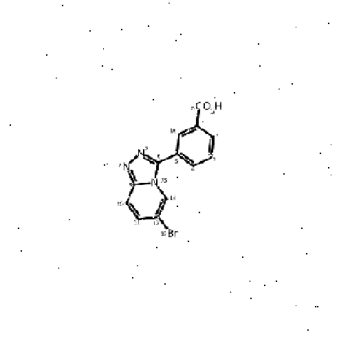 O=C(O)c1cccc(-c2nnc3ccc(Br)cn23)c1